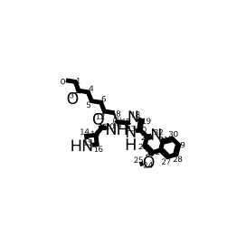 CCC(=O)CCCCC[C@H](NC(=O)C1CNC1)c1ncc(-c2cc(OC)c3ccccc3n2)[nH]1